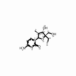 C[C@@H]1C(n2ccc(N)nc2=O)O[C@@](CO)(CF)[C@H]1O